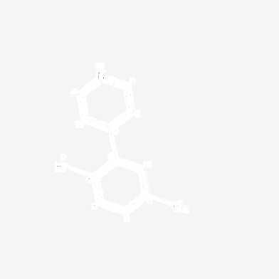 Clc1ccc(Br)c(-c2ccncc2)c1